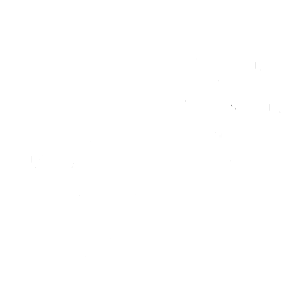 C=C1c2ccccc2C2=C(c3ccccc31)C(C[Si](=O)N(C)C(C)(C)C)C=C2.[Ti+3]